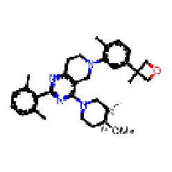 CO[C@H]1CCN(c2nc(-c3c(C)cccc3C)nc3c2CN(c2cc(C4(C)COC4)ccc2C)CC3)C[C@@H]1C